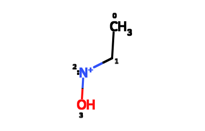 CC[N+]O